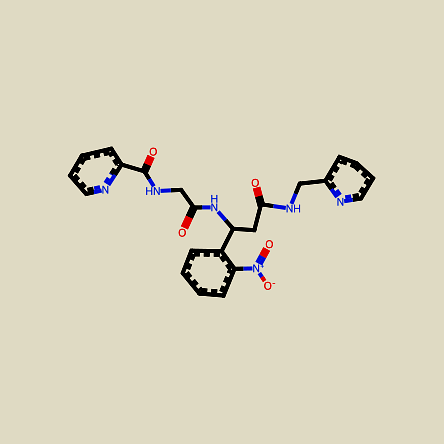 O=C(CC(NC(=O)CNC(=O)c1ccccn1)c1ccccc1[N+](=O)[O-])NCc1ccccn1